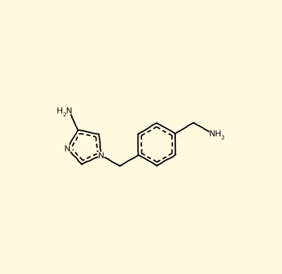 NCc1ccc(Cn2cnc(N)c2)cc1